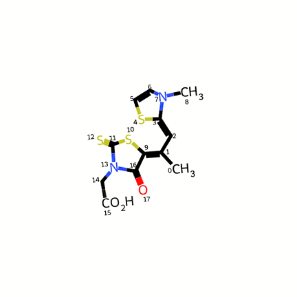 CC(C=C1SC=CN1C)=C1SC(=S)N(CC(=O)O)C1=O